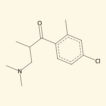 Cc1cc(Cl)ccc1C(=O)C(C)CN(C)C